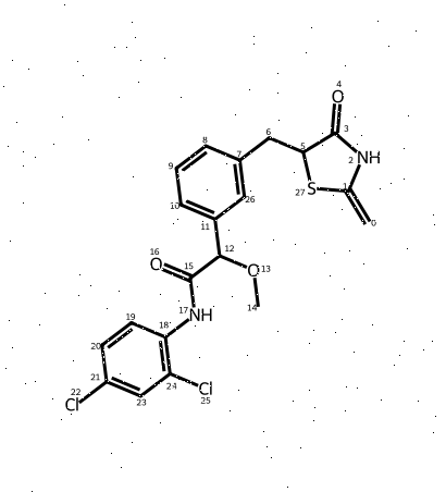 C=C1NC(=O)C(Cc2cccc(C(OC)C(=O)Nc3ccc(Cl)cc3Cl)c2)S1